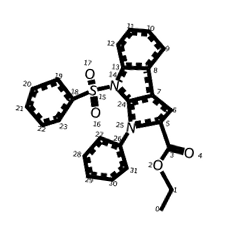 CCOC(=O)c1cc2c3ccccc3n(S(=O)(=O)c3ccccc3)c2n1-c1ccccc1